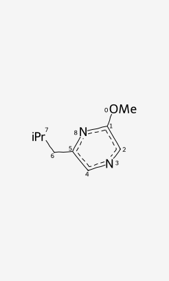 COc1cncc(CC(C)C)n1